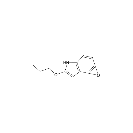 CCCOc1cc2c3c(ccc2[nH]1)O3